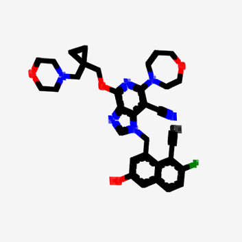 C#Cc1c(F)ccc2cc(O)cc(Cn3cnc4c(OCC5(CN6CCOCC6)CC5)nc(N5CCCOCC5)c(C#N)c43)c12